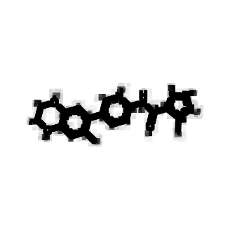 Cc1cc2c(cc1-c1ccc(NC(=O)c3snnc3C)nc1)OCCO2